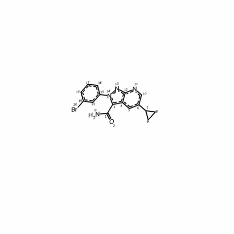 NC(=O)c1c2cc(C3CC3)cnc2nn1-c1cccc(Br)c1